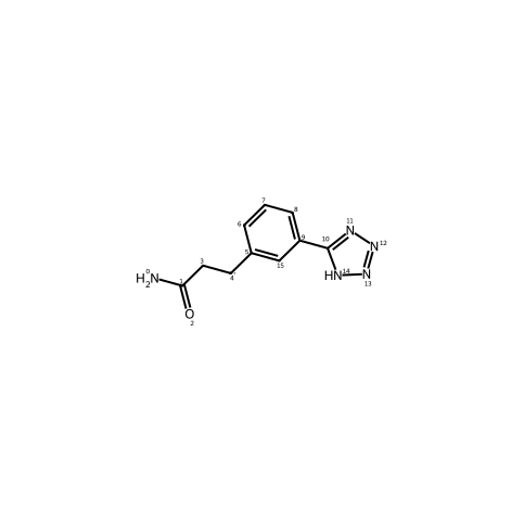 NC(=O)C[CH]c1cccc(-c2nnn[nH]2)c1